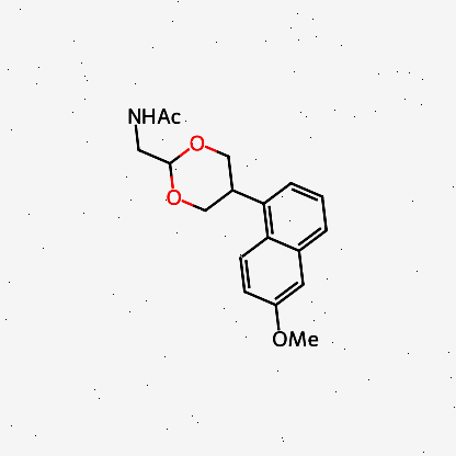 COc1ccc2c(C3COC(CNC(C)=O)OC3)cccc2c1